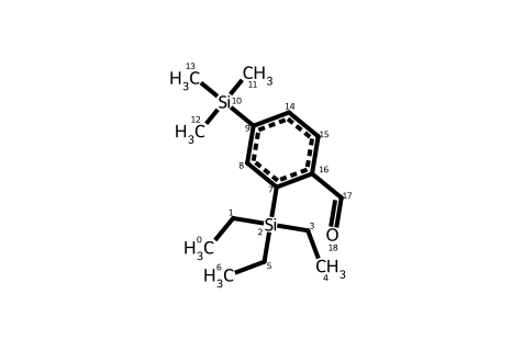 CC[Si](CC)(CC)c1cc([Si](C)(C)C)ccc1C=O